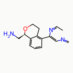 C=N/C=C(\N=C/C)c1cccc2c1CCO[C@@H]2CN